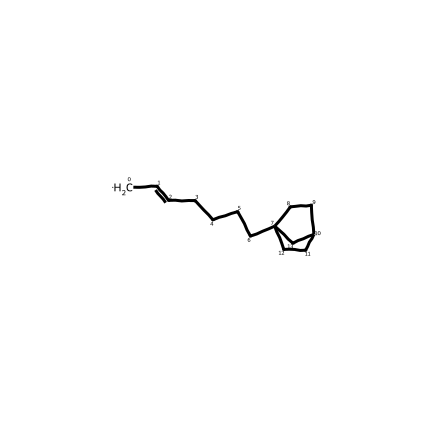 [CH2]C=CCCCCC12CCC(CC1)C2